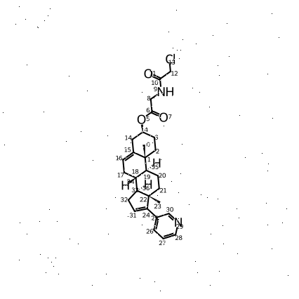 C[C@]12CC[C@H](OC(=O)CNC(=O)CCl)CC1=CC[C@@H]1[C@@H]2CC[C@]2(C)C(c3cccnc3)=CC[C@@H]12